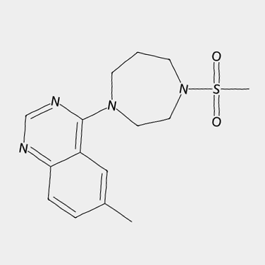 Cc1ccc2ncnc(N3CCCN(S(C)(=O)=O)CC3)c2c1